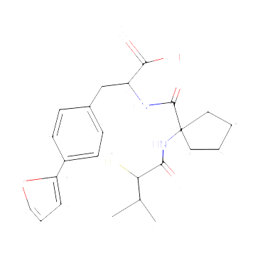 CC(C)C(S)C(=O)NC1(C(=O)NC(Cc2ccc(-c3ccco3)cc2)C(=O)O)CCCC1